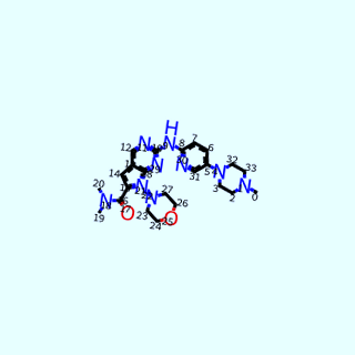 CN1CCN(c2ccc(Nc3ncc4cc(C(=O)N(C)C)n(N5CCOCC5)c4n3)nc2)CC1